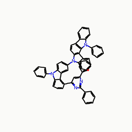 c1ccc(-c2cc(-c3cccc4c3c3cc(-n5c6ccccc6c6c5ccc5c7ccccc7n(-c7ccccc7)c56)ccc3n4-c3ccccc3)nc(-c3ccccc3)n2)cc1